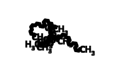 CC/C=C\C/C=C\C/C=C\C/C=C\C/C=C\CCC(CC)C(=O)OCC(COP(=O)(O)OCC[N+](C)(C)C)OC(=O)C(CC)CC/C=C\C/C=C\C/C=C\C/C=C\C/C=C\CC